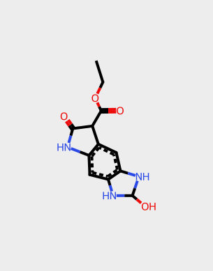 CCOC(=O)C1C(=O)Nc2cc3c(cc21)NC(O)N3